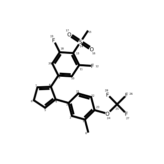 Cc1cc(C2=CCC=C2c2cc(F)c(S(C)(=O)=O)c(F)c2)ccc1OC(F)(F)F